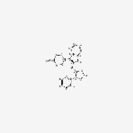 CCN1CCN(c2c(CN3CCCC3c3ccccn3)nc3ccccn23)CC1